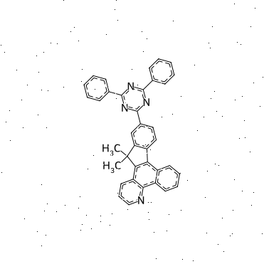 CC1(C)c2cc(-c3nc(-c4ccccc4)nc(-c4ccccc4)n3)ccc2-c2c1c1cccnc1c1ccccc21